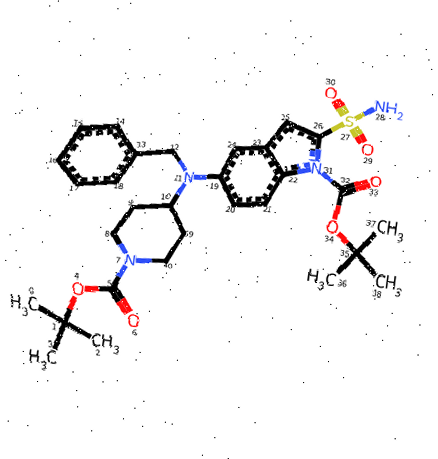 CC(C)(C)OC(=O)N1CCC(N(Cc2ccccc2)c2ccc3c(c2)cc(S(N)(=O)=O)n3C(=O)OC(C)(C)C)CC1